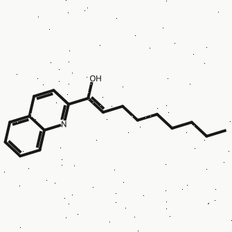 CCCCCCCC=C(O)c1ccc2ccccc2n1